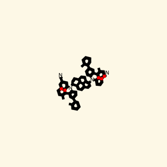 Cc1ccccc1-c1ccc(N(C2=C3C=CC4=C5C(=CC=C(C=C2)C35)C(N(c2cccc(C#N)c2)c2ccc(-c3ccccc3C)cc2-c2ccccc2C)C=C4)c2cccc(C#N)c2)c(-c2ccccc2C)c1